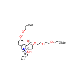 COCCOCCOCCOC1CC[C@@]2(O)[C@H]3Cc4ccc(OCOCCOC)c5c4[C@@]2(CCN3CC2CCC2)[C@H]1O5